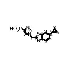 O=C(O)c1cn(Cc2nc3ccc(C4CC4)cc3s2)nn1